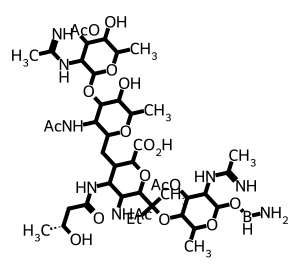 CCC(C)(OC1C(C)OC(OBN)C(NC(C)=N)C1OC(C)=O)C1OC(C(=O)O)C(CC2OC(C)C(O)C(OC3OC(C)C(O)C(OC(C)=O)C3NC(C)=N)C2NC(C)=O)C(NC(=O)C[C@@H](C)O)C1NC(C)=O